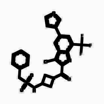 O=C(c1nc2c(C(F)(F)F)cc(-c3ccoc3)cn2c1Cl)N1CC(NS(=O)(=O)Cc2ccccc2)C1